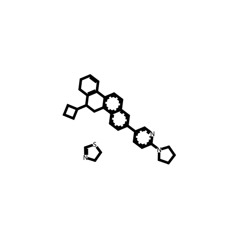 C1=CC2=C(CC1)C(C1CCC1)Cc1c2ccc2cc(-c3ccc(N4CCCC4)nc3)ccc12.C1=NCCS1